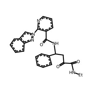 CCNC(=O)C(=O)CC(NC(=O)c1cccnc1-n1cc2ccccc2n1)c1ccccc1